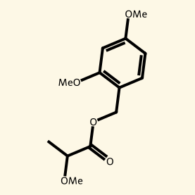 COc1ccc(COC(=O)C(C)OC)c(OC)c1